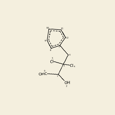 O=CC(O)C(Cl)(Cl)Cc1ccccc1